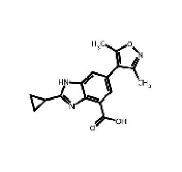 Cc1noc(C)c1-c1cc(C(=O)O)c2nc(C3CC3)[nH]c2c1